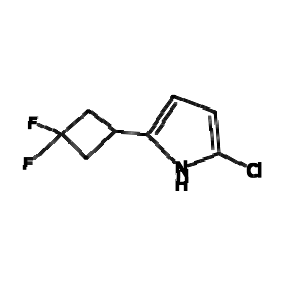 FC1(F)CC(c2ccc(Cl)[nH]2)C1